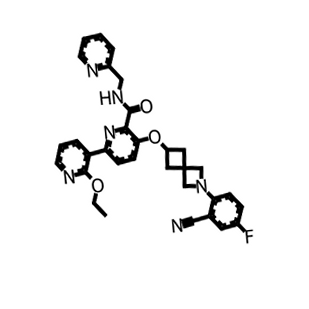 CCOc1ncccc1-c1ccc(OC2CC3(C2)CN(c2ccc(F)cc2C#N)C3)c(C(=O)NCc2ccccn2)n1